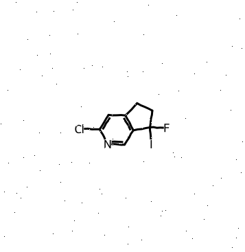 FC1(I)CCc2cc(Cl)ncc21